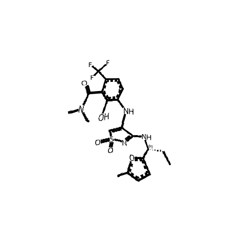 CC[C@@H](NC1=NS(=O)(=O)C=C1Nc1ccc(C(F)(F)F)c(C(=O)N(C)C)c1O)c1ccc(C)o1